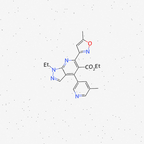 CCOC(=O)c1c(-c2cc(C)on2)nc2c(cnn2CC)c1-c1cncc(C)c1